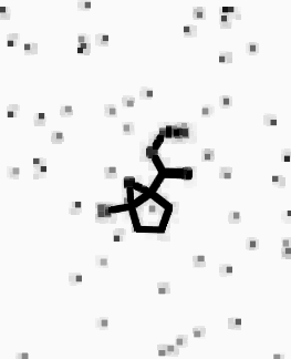 CCCCCCOC(=O)C12CCCC1(CC)O2